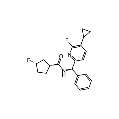 O=C(N[C@H](c1ccccc1)c1ccc(C2CC2)c(F)n1)[C@H]1CC[C@H](F)C1